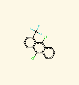 FC(F)(F)c1cccc2c(Cl)c3ccccc3c(Cl)c12